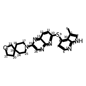 Cc1c[nH]c2nccc(Sc3ccc4nc(N5CCC6(CCOC6)CC5)cnc4n3)c12